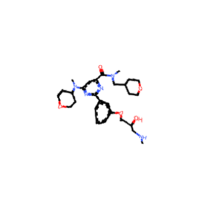 CNCC(O)COc1cccc(-c2nc(C(=O)N(C)CC3CCOCC3)cc(N(C)C3CCOCC3)n2)c1